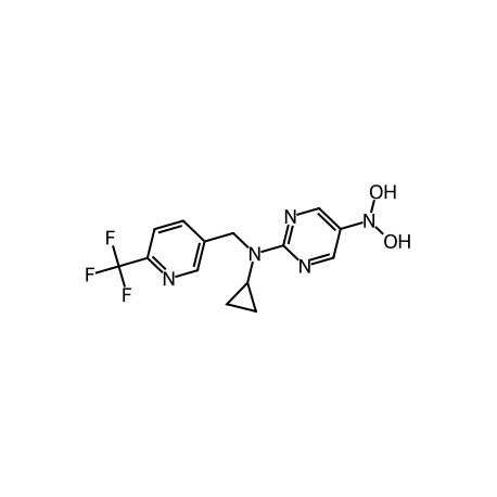 ON(O)c1cnc(N(Cc2ccc(C(F)(F)F)nc2)C2CC2)nc1